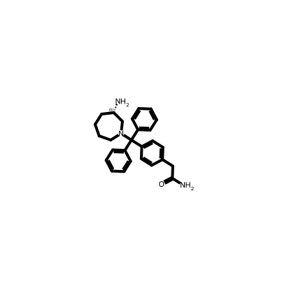 NC(=O)Cc1ccc(C(c2ccccc2)(c2ccccc2)N2CCCC[C@H](N)C2)cc1